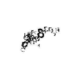 CCCN(CC(CC)Oc1ccc2c(ccn2CC(=O)O)c1)S(=O)(=O)c1sc2ccc(Cl)cc2c1C